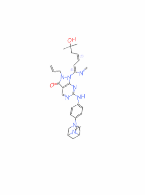 C=CCn1c(=O)c2cnc(Nc3ccc(N4CC5CC(C4)N5C(C)C)cc3)nc2n1/C(=C/C=C\CC(C)(C)O)N=C